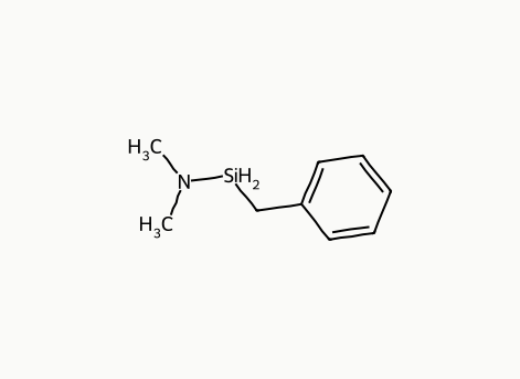 CN(C)[SiH2]Cc1ccccc1